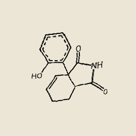 O=C1NC(=O)C2(c3ccccc3O)C=CCCC12